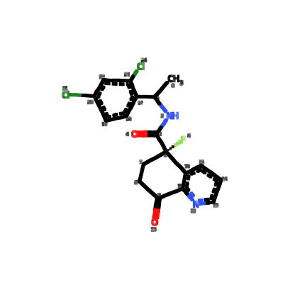 CC(NC(=O)[C@]1(F)CCC(=O)c2ncccc21)c1ccc(Cl)cc1Cl